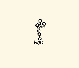 O=C(COc1ccc(-c2ccc(C(=O)O)cc2)cc1)NC(c1ccccc1)(c1ccccc1)c1ccccc1